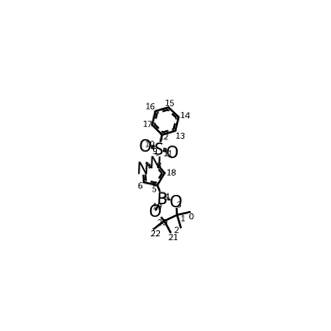 CC1(C)OB(c2cnn(S(=O)(=O)c3ccccc3)c2)OC1(C)C